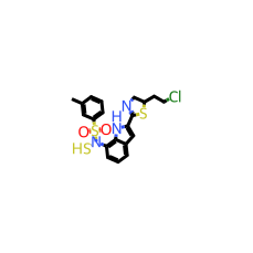 Cc1cccc(S(=O)(=O)N(S)c2cccc3cc(C4=NCC(CCCl)S4)[nH]c23)c1